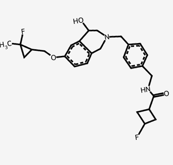 CC1(F)CC1COc1ccc2c(c1)C(O)CN(Cc1ccc(CNC(=O)C3CC(F)C3)cc1)C2